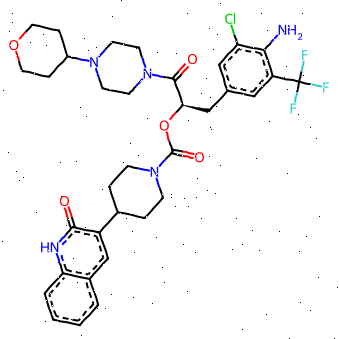 Nc1c(Cl)cc(C[C@@H](OC(=O)N2CCC(c3cc4ccccc4[nH]c3=O)CC2)C(=O)N2CCN(C3CCOCC3)CC2)cc1C(F)(F)F